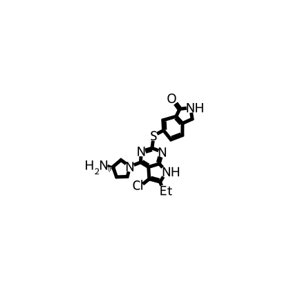 CCc1[nH]c2nc(Sc3ccc4c(c3)C(=O)NC4)nc(N3CC[C@@H](N)C3)c2c1Cl